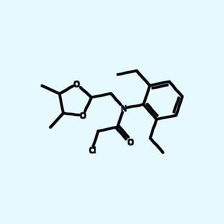 CCc1cccc(CC)c1N(CC1OC(C)C(C)O1)C(=O)CCl